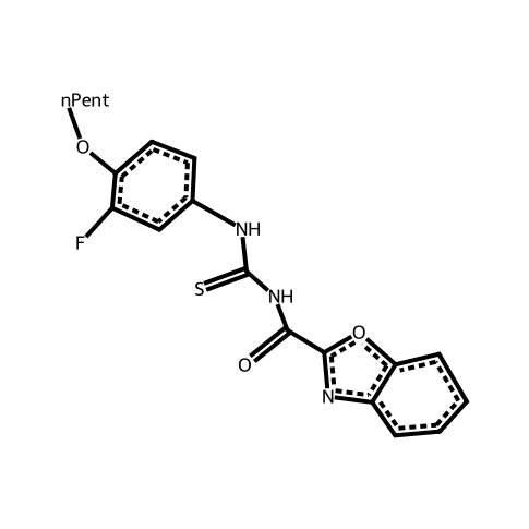 CCCCCOc1ccc(NC(=S)NC(=O)c2nc3ccccc3o2)cc1F